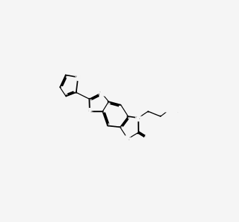 CCCn1c(=O)[nH]c2cc3[nH]c(-c4ccc[nH]4)nc3cc21